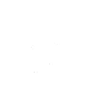 CCC(C)C(=O)OC1=C([Se]c2ccccc2)C(c2ccccc2C)OC1